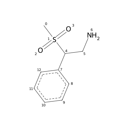 CS(=O)(=O)C(CN)c1ccccc1